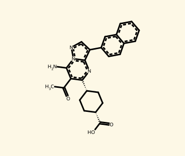 CC(=O)c1c(N)n2ncc(-c3ccc4ccccc4c3)c2nc1[C@H]1CC[C@@H](C(=O)O)CC1